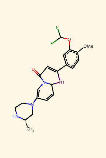 COc1ccc(C2=CC(=O)N3C=C(N4CCN[C@@H](C)C4)C=CC3P2)cc1OC(F)F